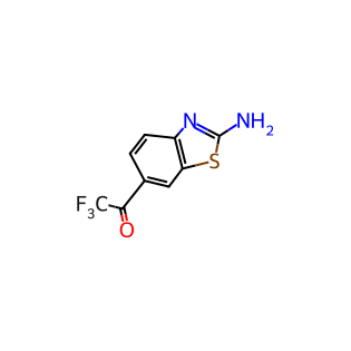 Nc1nc2ccc(C(=O)C(F)(F)F)cc2s1